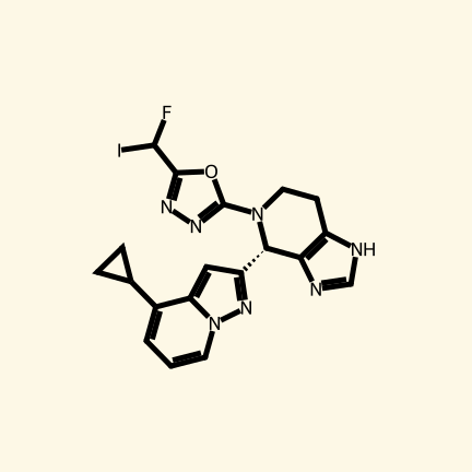 FC(I)c1nnc(N2CCc3[nH]cnc3[C@@H]2c2cc3c(C4CC4)cccn3n2)o1